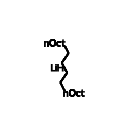 [CH2]CCCCCCCCCCCCCCCCCCC.[LiH]